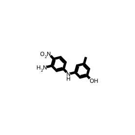 Cc1cc(O)cc(Nc2ccc([N+](=O)[O-])c(N)c2)c1